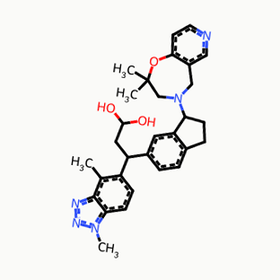 Cc1c(C(CC(O)O)c2ccc3c(c2)C(N2Cc4cnccc4OC(C)(C)C2)CC3)ccc2c1nnn2C